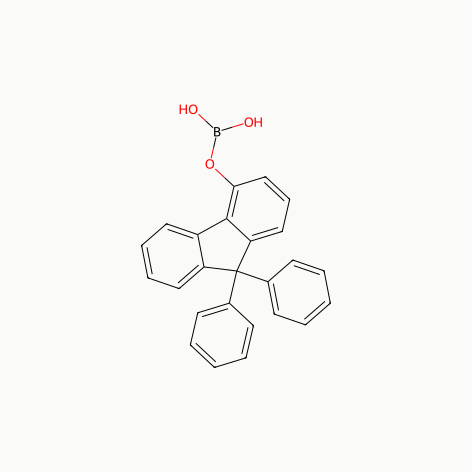 OB(O)Oc1cccc2c1-c1ccccc1C2(c1ccccc1)c1ccccc1